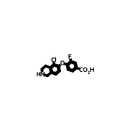 O=C(O)c1ccc(Oc2ccc3c(c2Cl)CCNC3)c(F)c1